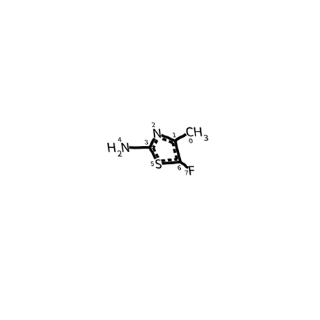 Cc1nc(N)sc1F